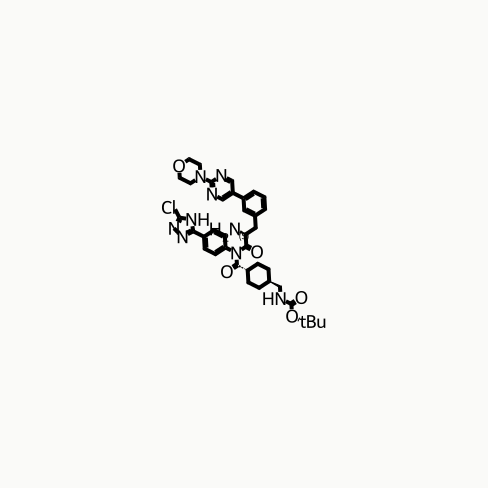 CC(C)(C)OC(=O)NC[C@H]1CC[C@H](C(=O)N(C(=O)[C@@H](N)Cc2cccc(-c3cnc(N4CCOCC4)nc3)c2)c2ccc(-c3nnc(Cl)[nH]3)cc2)CC1